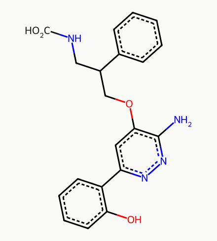 Nc1nnc(-c2ccccc2O)cc1OCC(CNC(=O)O)c1ccccc1